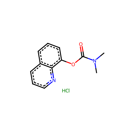 CN(C)C(=O)Oc1cccc2cccnc12.Cl